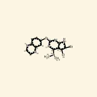 CCc1[nH]c2nc(Oc3ccc4nccnc4c3)nc(N(C)C)c2c1Cl